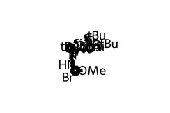 COc1cc(Br)cc(NCCn2cc(CCN3CCC(O[Si](C)(C)C(C)(C)C)C(O[Si](C)(C)C(C)(C)C)[C@H]3CO[Si](C)(C)C(C)(C)C)c3ccccc32)c1